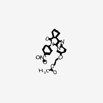 CC(=O)OCCOc1ccc2nc3c4ccccc4c(=O)n(-c4ccc([N+](=O)[O-])cc4)c3n2c1